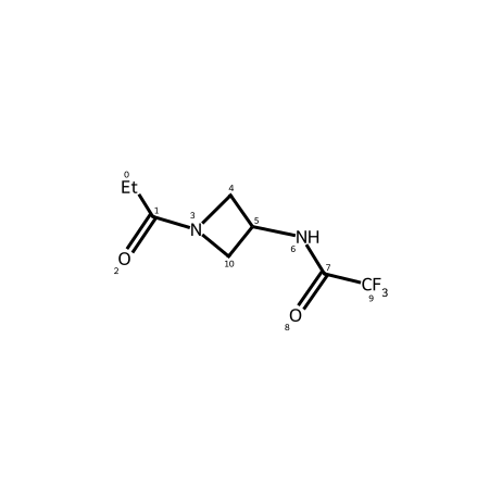 CCC(=O)N1CC(NC(=O)C(F)(F)F)C1